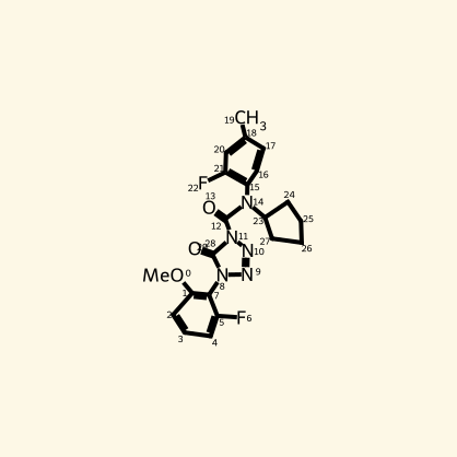 COc1cccc(F)c1-n1nnn(C(=O)N(c2ccc(C)cc2F)C2CCCC2)c1=O